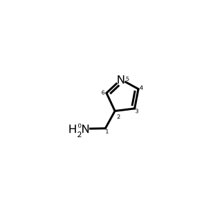 NCC1C=CN=C1